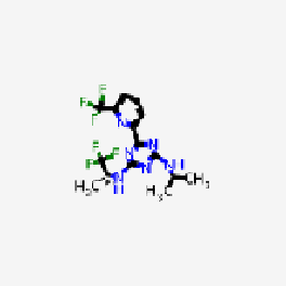 CC(C)Nc1nc(N[C@H](C)C(F)(F)F)nc(-c2cccc(C(F)(F)F)n2)n1